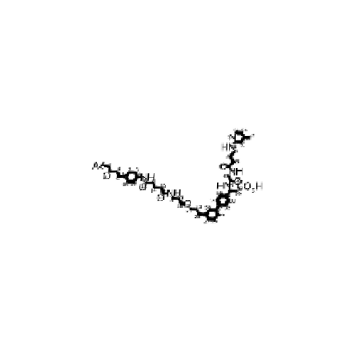 CC(=O)CC(=O)CCc1ccc(NC(=O)CCCC(=O)NCCCOCCCc2cccc(-c3ccc(C(CC(=O)O)NC(=O)CNC(=O)CCCNc4cc(C)ccn4)cc3)c2)cc1